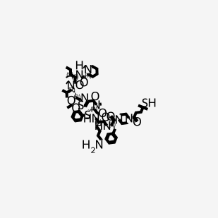 CC[C@H](C)[C@H](NC(=O)[C@H]1CCCCN1C)C(=O)N(C)[C@H](C[C@@H](OC(C)=O)c1nc(C(=O)N(C)[C@@H](CSc2ccccc2)C(=O)N[C@H](CCCCN)C(=O)N[C@@H](Cc2ccccc2)C(=O)N2CCN(C(=O)CCC(C)(C)S)CC2)cs1)C(C)C